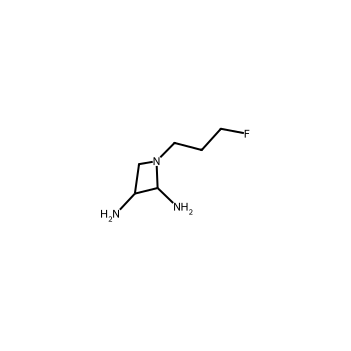 NC1CN(CCCF)C1N